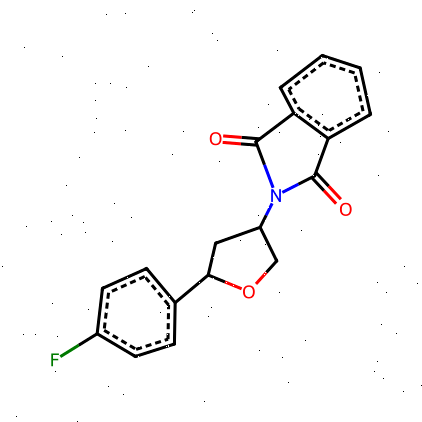 O=C1c2ccccc2C(=O)N1C1COC(c2ccc(F)cc2)C1